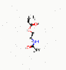 C=CC(=O)OCCNC(=O)C(C)C